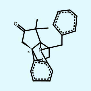 CC1(C)C(=O)C[C@]23CCCCC12N(Cc1ccccc1)c1ccccc13